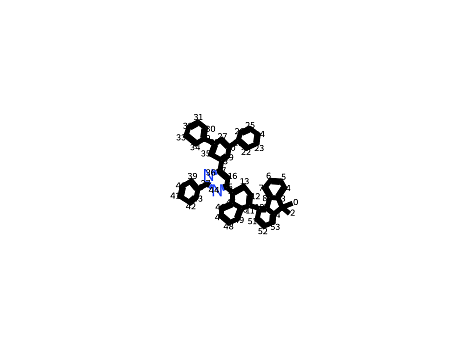 CC1(C)c2ccccc2-c2c(-c3ccc(-c4cc(-c5cc(-c6ccccc6)cc(-c6ccccc6)c5)nc(-c5ccccc5)n4)c4ccccc34)cccc21